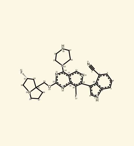 N#Cc1cccc2[nH]cc(-c3ncc4c(N5CCNCC5)nc(OCC56CCCN5C[C@H](F)C6)nc4c3F)c12